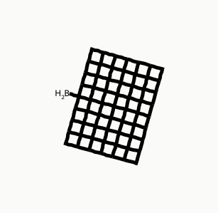 BC12C3C4C5CC6C7C8C9C%10CC%11C%12C%13C%14C%15C%16C%17CC%18C%19C%20C%21C%22CC%23C%24C1C1%25C%24%26C%22%23C%21%22C%20%21C%19%20C%18%17C%16%17C%15%16C%14%15C%13%14C%12%13C%10%11C9%10C89C78C65C45C34C21C12C43C85C94C%10%13C%145C%156C%167C%20%17C%218C%22%26C%251C87C62C453